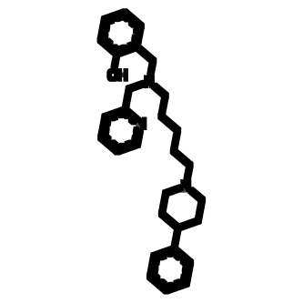 Oc1ccccc1CN(CCCCCN1CCC(c2ccccc2)CC1)Cc1ccccn1